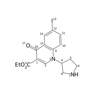 CCOC(=O)c1cn(C2CCNC2)c2ccc(I)cc2c1=O